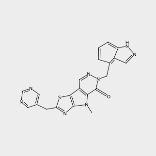 Cn1c2nc(Cc3cncnc3)sc2c2cnn(Cc3cccc4[nH]ncc34)c(=O)c21